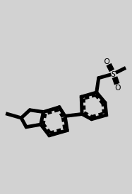 CC1Cc2ccc(-c3cccc(CS(C)(=O)=O)c3)cc2C1